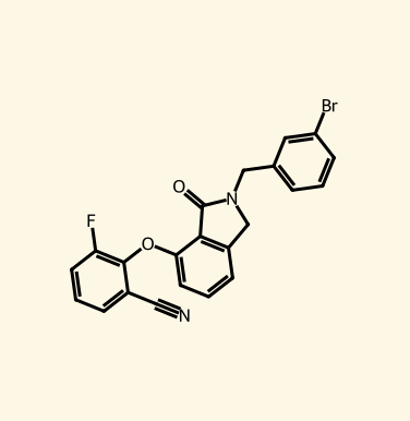 N#Cc1cccc(F)c1Oc1cccc2c1C(=O)N(Cc1cccc(Br)c1)C2